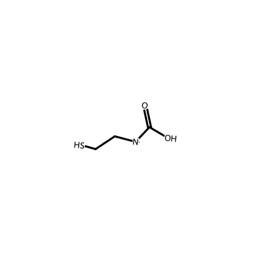 O=C(O)[N]CCS